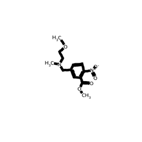 COCCN(C)Cc1ccc([N+](=O)[O-])c(C(=O)OC)c1